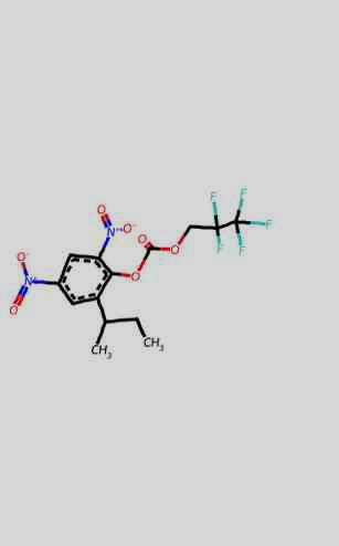 CCC(C)c1cc([N+](=O)[O-])cc([N+](=O)[O-])c1OC(=O)OCC(F)(F)C(F)(F)F